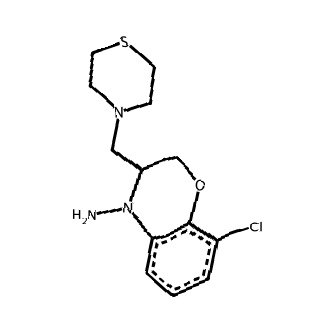 NN1c2cccc(Cl)c2OCC1CN1CCSCC1